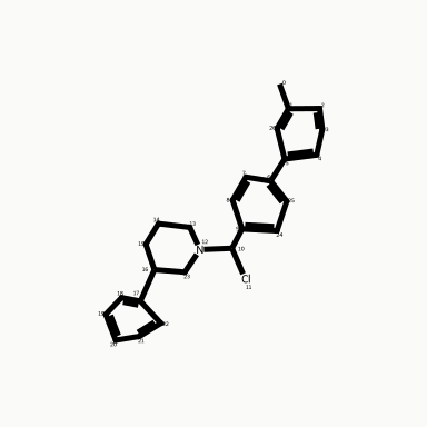 Cc1cccc(-c2ccc(C(Cl)N3CCCC(c4ccccc4)C3)cc2)c1